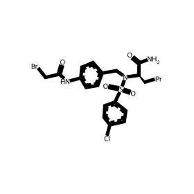 CC(C)C[C@H](C(N)=O)N(Cc1ccc(NC(=O)CBr)cc1)S(=O)(=O)c1ccc(Cl)cc1